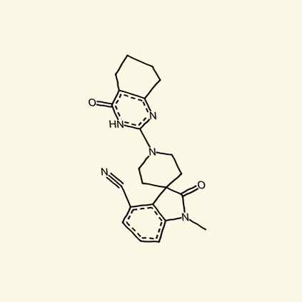 CN1C(=O)C2(CCN(c3nc4c(c(=O)[nH]3)CCCC4)CC2)c2c(C#N)cccc21